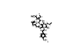 CCCn1c(=O)c2c(nc(Cc3ncco3)n2CCN(CC)CCO)n(CCc2ccc(N)cc2)c1=O